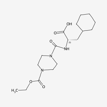 CCOC(=O)N1CCN(C(=O)N[C@@H](CC2CCCCC2)C(=O)O)CC1